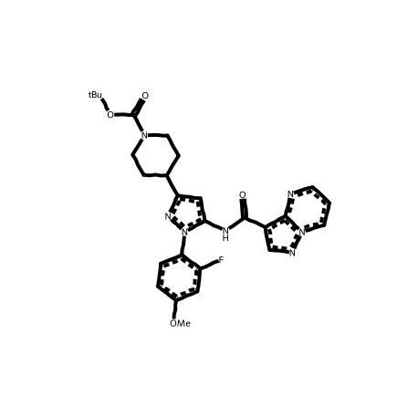 COc1ccc(-n2nc(C3CCN(C(=O)OC(C)(C)C)CC3)cc2NC(=O)c2cnn3cccnc23)c(F)c1